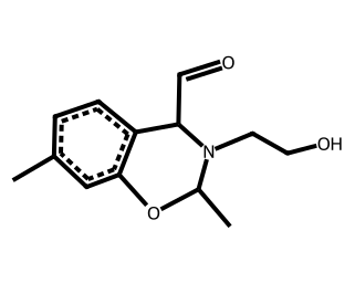 Cc1ccc2c(c1)OC(C)N(CCO)C2C=O